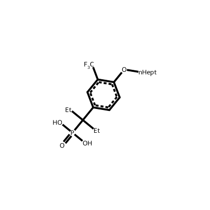 CCCCCCCOc1ccc(C(CC)(CC)P(=O)(O)O)cc1C(F)(F)F